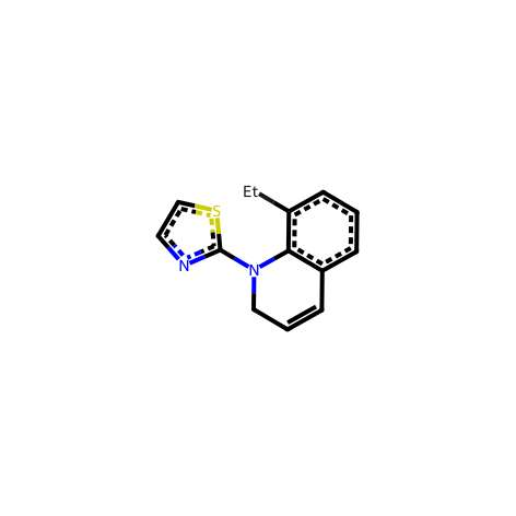 CCc1cccc2c1N(c1nccs1)CC=C2